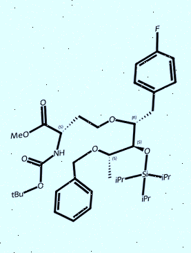 COC(=O)[C@H](CCO[C@H](Cc1ccc(F)cc1)[C@@H](O[Si](C(C)C)(C(C)C)C(C)C)[C@H](C)OCc1ccccc1)NC(=O)OC(C)(C)C